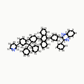 c1ccc(-c2nc3ccccc3nc2-c2ccc(-c3c4ccccc4c(-c4ccc5c(c4)C(c4ccccc4)(c4ccccc4)c4cc(-c6cccnc6)ccc4-5)c4ccccc34)cc2)cc1